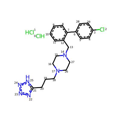 Cl.Cl.Clc1ccc(-c2ccccc2CN2CCN(CCCc3nnn[nH]3)CC2)cc1